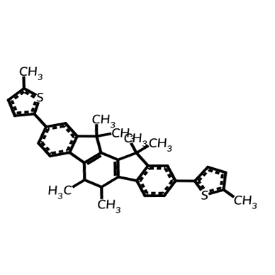 Cc1ccc(-c2ccc3c(c2)C(C)(C)C2=C3C(C)C(C)C3=C2C(C)(C)c2cc(-c4ccc(C)s4)ccc23)s1